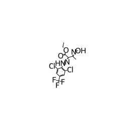 CCOC(=O)C(=N\Nc1c(Cl)cc(C(F)(F)F)cc1Cl)/C(C)=N/O